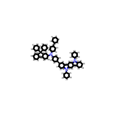 c1ccc(-c2ccc(N(c3ccc(-c4ccc5c(c4)c4cc6c(cc4n5-c4ccccc4)c4ccccc4n6-c4ccccc4)cc3)c3ccc4c(c3)C(c3ccccc3)(c3ccccc3)c3ccccc3-4)cc2)cc1